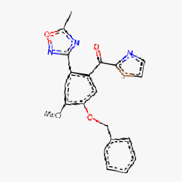 COc1cc(-c2noc(C)n2)c(C(=O)c2nccs2)cc1OCc1ccccc1